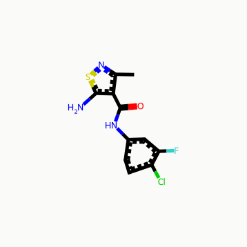 Cc1nsc(N)c1C(=O)Nc1ccc(Cl)c(F)c1